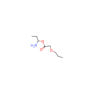 CCCOCC(=O)OC(N)CC